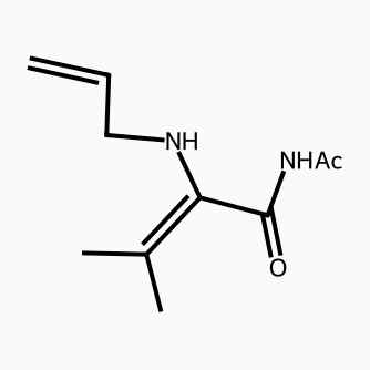 C=CCNC(C(=O)NC(C)=O)=C(C)C